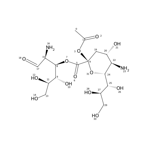 CC(=O)O[C@@]1(C(=O)O[C@@H]([C@H](O)[C@H](O)CO)[C@H](N)C=O)C[C@H](O)[C@@H](N)[C@H]([C@H](O)[C@H](O)CO)O1